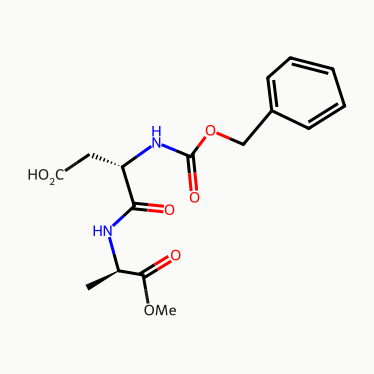 COC(=O)[C@@H](C)NC(=O)[C@H](CC(=O)O)NC(=O)OCc1ccccc1